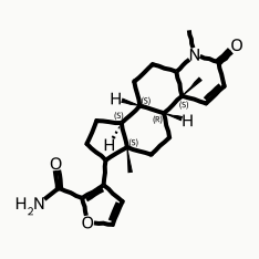 CN1C(=O)C=C[C@@]2(C)C1CC[C@@H]1[C@H]2CC[C@]2(C)C(c3ccoc3C(N)=O)CC[C@@H]12